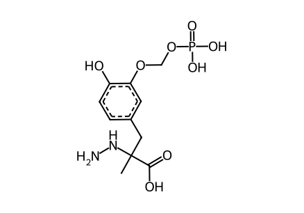 CC(Cc1ccc(O)c(OCOP(=O)(O)O)c1)(NN)C(=O)O